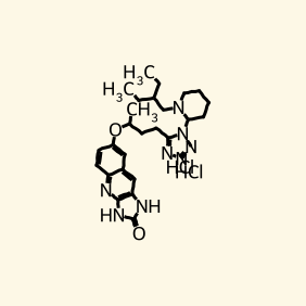 CCC(CC)CN1CCCCC1n1nnnc1CCC(C)Oc1ccc2nc3[nH]c(=O)[nH]c3cc2c1.Cl.Cl